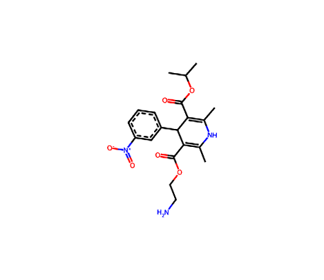 CC1=C(C(=O)OCCN)C(c2cccc([N+](=O)[O-])c2)C(C(=O)OC(C)C)=C(C)N1